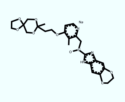 Cc1c(OCCC2(C)OCC3(CO2)OCCO3)ccnc1C[S+]([O-])c1nc2cc3c(cc2[nH]1)OCCO3.[Na]